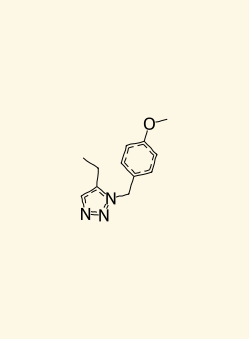 CCc1cnnn1Cc1ccc(OC)cc1